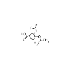 CC(C)Oc1ccc(C(=O)O)cc1OC(F)F